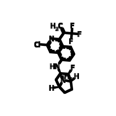 C=C(c1nc(Cl)cc2c(N[C@@H]3C[C@H]4CC[C@@H]([C@@H]3F)N4C)cccc12)C(F)(F)F